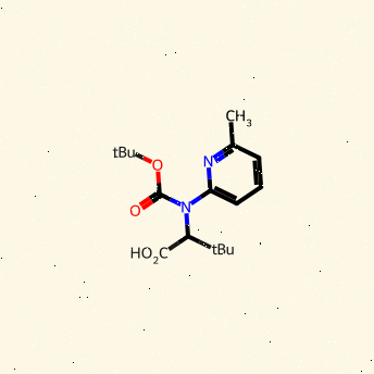 Cc1cccc(N(C(=O)OC(C)(C)C)C(C(=O)O)C(C)(C)C)n1